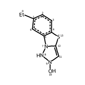 CCc1ccc2c(c1)N1NN(O)C=C1S2